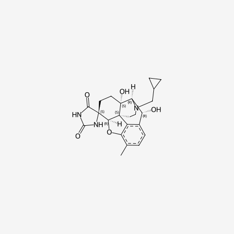 Cc1ccc2c3c1O[C@@H]1[C@]34CCN(CC3CC3)[C@H]([C@@H]2O)[C@]4(O)CC[C@]12NC(=O)NC2=O